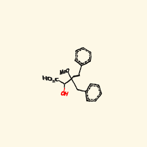 COC(Cc1ccccc1)(Cc1ccccc1)C(O)C(=O)O